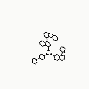 c1ccc(-c2ccc(-c3nc(-c4ccc5ccc6oc7ccccc7c6c5c4)nc(-c4ccc(-c5cccc6oc7ccccc7c56)c5ccccc45)n3)cc2)cc1